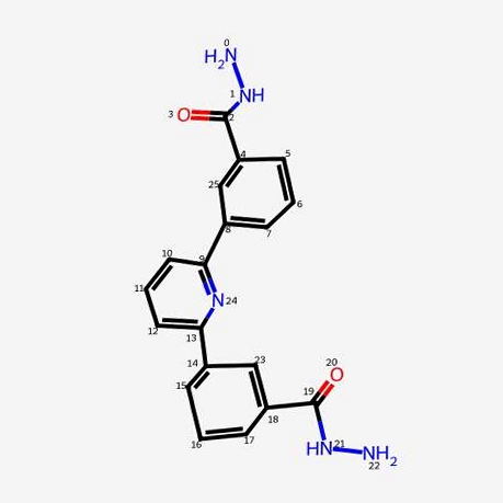 NNC(=O)c1cccc(-c2cccc(-c3cccc(C(=O)NN)c3)n2)c1